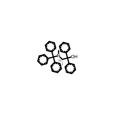 C[C@H](N(C)C(c1ccccc1)(c1ccccc1)c1ccccc1)C(O)(c1ccccc1)c1ccccc1